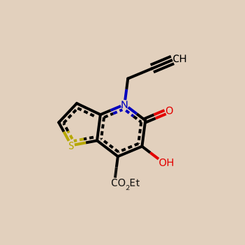 C#CCn1c(=O)c(O)c(C(=O)OCC)c2sccc21